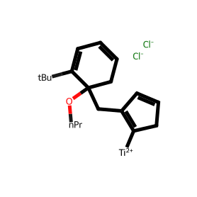 CCCOC1(CC2=[C]([Ti+2])CC=C2)CC=CC=C1C(C)(C)C.[Cl-].[Cl-]